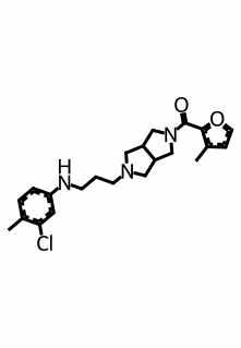 Cc1ccc(NCCCN2CC3CN(C(=O)c4occc4C)CC3C2)cc1Cl